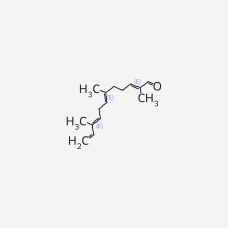 C=C/C(C)=C/C/C=C(\C)CC/C=C(\C)C=O